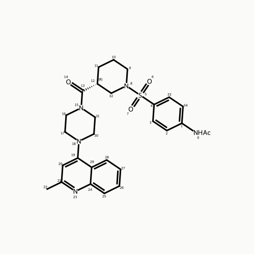 CC(=O)Nc1ccc(S(=O)(=O)N2CCC[C@@H](C(=O)N3CCN(c4cc(C)nc5ccccc45)CC3)C2)cc1